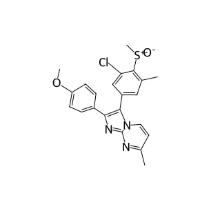 COc1ccc(-c2nc3nc(C)ccn3c2-c2cc(C)c([S+](C)[O-])c(Cl)c2)cc1